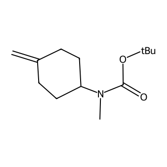 C=C1CCC(N(C)C(=O)OC(C)(C)C)CC1